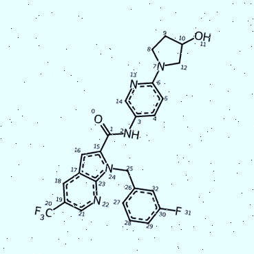 O=C(Nc1ccc(N2CCC(O)C2)nc1)c1cc2cc(C(F)(F)F)cnc2n1Cc1cccc(F)c1